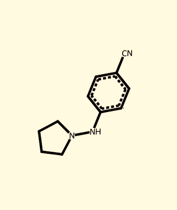 N#Cc1c[c]c(NN2CCCC2)cc1